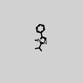 CC(C)c1ncc(-c2ccccc2)n1C